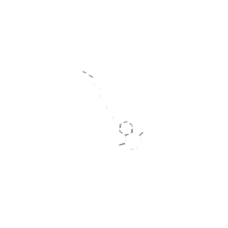 CN1CC(=O)c2ccc(OCCCCCCN=[N+]=[N-])cc2C(=O)N1